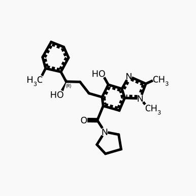 Cc1ccccc1[C@H](O)CCc1c(C(=O)N2CCCC2)cc2c(nc(C)n2C)c1O